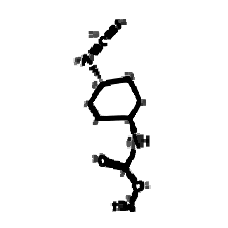 CC(C)(C)OC(=O)N[C@H]1CC[C@H](N=C=S)CC1